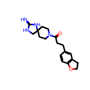 N=C1NCC2(CCN(C(=O)CCc3ccc4c(c3)CCO4)CC2)N1